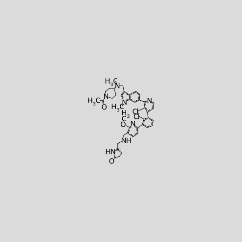 COc1nc(-c2cccc(-c3ccnc(-c4ccc5c(CN(C)C6CCN(C(C)=O)CC6)cn(C)c5c4)c3Cl)c2Cl)ccc1CNC[C@H]1CCC(=O)N1